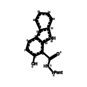 CCCCCNC(=O)c1c(O)ccc2c1[nH]c1ccccc12